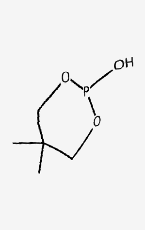 CC1(C)COP(O)OC1